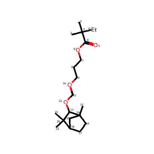 CCC(C)(C)C(=O)OCCCOCOC1C2(C)CCC(C2)C1(C)C